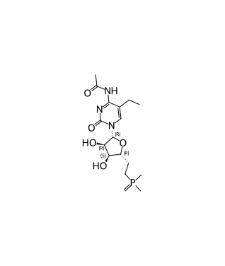 C=P(C)(C)CC[C@H]1O[C@@H](n2cc(CC)c(NC(C)=O)nc2=O)[C@H](O)[C@@H]1O